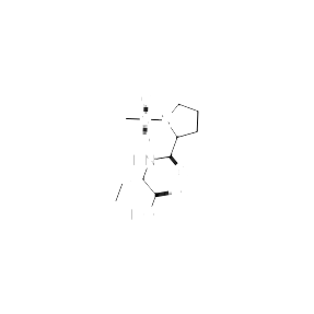 CC[C@H](NC(=O)C1CCCN1S(C)(=O)=O)C(=O)O